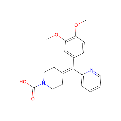 COc1ccc(C(=C2CCN(C(=O)O)CC2)c2ccccn2)cc1OC